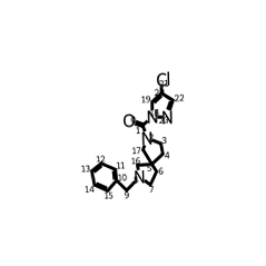 O=C(N1CCC2(CCN(Cc3ccccc3)C2)C1)n1cc(Cl)cn1